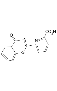 O=C(O)c1cccc(-c2nc(=O)c3ccccc3s2)n1